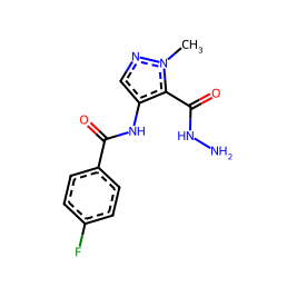 Cn1ncc(NC(=O)c2ccc(F)cc2)c1C(=O)NN